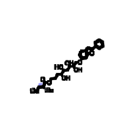 CC(C)(C)/C=C(/C(=O)OCCCC(O)C(O)CC(O)C(O)COc1ccc2cc(-c3ccccc3)oc2c1)C(C)(C)C